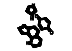 O=C1C=CC(=O)C=C1.c1c[nH]c2c(c1)ccc1nccc12.c1c[nH]cn1